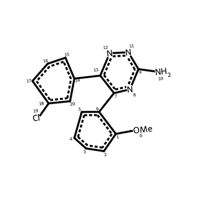 COc1ccccc1-c1nc(N)nnc1-c1cccc(Cl)c1